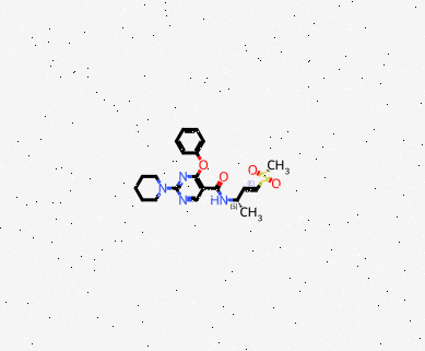 C[C@@H](/C=C/S(C)(=O)=O)NC(=O)c1cnc(N2CCCCC2)nc1Oc1ccccc1